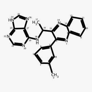 Cc1cccc(-c2nc3ccccc3nc2C(C)Nc2ncnc3[nH]cnc23)c1